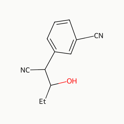 CCC(O)C(C#N)c1cccc(C#N)c1